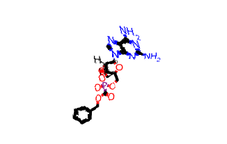 Nc1nc(N)c2ncn([C@@H]3O[C@@]45CO[C@@H]3[C@@H]4OP(=O)(C(=O)OCc3ccccc3)OC5)c2n1